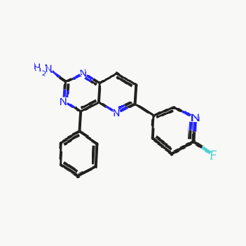 Nc1nc(-c2ccccc2)c2nc(-c3ccc(F)nc3)ccc2n1